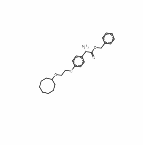 N[C@H](C(=O)OCc1ccccc1)c1ccc(OCCOC2CCCCCCC2)cc1